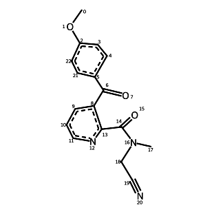 COc1ccc(C(=O)c2cccnc2C(=O)N(C)CC#N)cc1